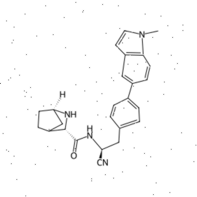 Cn1ccc2cc(-c3ccc(C[C@@H](C#N)NC(=O)[C@H]4N[C@@H]5CCC4C5)cc3)ccc21